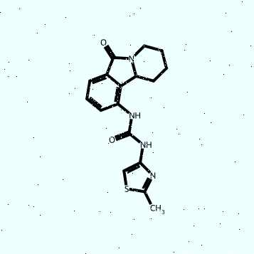 Cc1nc(NC(=O)Nc2cccc3c2C2CCCCN2C3=O)cs1